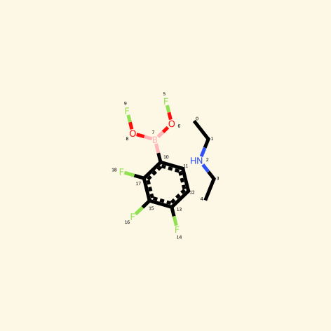 CCNCC.FOB(OF)c1ccc(F)c(F)c1F